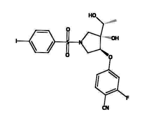 C[C@@H](O)[C@]1(O)CN(S(=O)(=O)c2ccc(I)cc2)C[C@@H]1Oc1ccc(C#N)c(F)c1